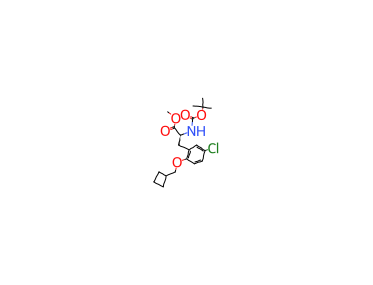 COC(=O)[C@H](Cc1cc(Cl)ccc1OCC1CCC1)NC(=O)OC(C)(C)C